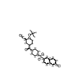 CC(C)(C)ON1CCC(C(=O)N2CCN(S(=O)(=O)c3ccc4cc(Cl)ccc4c3)CC2)CC1=C=O